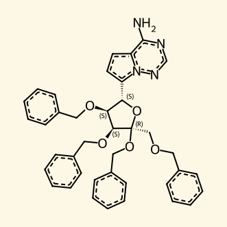 Nc1ncnn2c([C@@H]3O[C@@](COCc4ccccc4)(OCc4ccccc4)[C@@H](OCc4ccccc4)[C@H]3OCc3ccccc3)ccc12